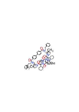 CN[C@@H](C)C(=O)N[C@H](C(=O)N1CC[C@H](C)[C@H]1CN(CCc1ccccc1)C(=O)c1ccc(-c2ccc(C(=O)N(CCc3ccccc3)C[C@@H]3[C@@H](C)CCN3C(=O)[C@@H](NC(=O)C(C)C)C3CCCCC3)cc2)cc1)C1CCCCC1